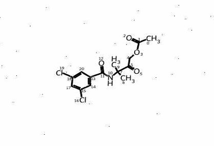 CC(=O)OCC(=O)C(C)(C)NC(=O)c1cc(Cl)cc(Cl)c1